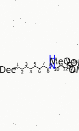 CCCCCCCCCCCCCCCCCCNCCC[Si](OC)(OC)OC